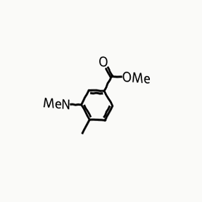 CNc1cc(C(=O)OC)ccc1C